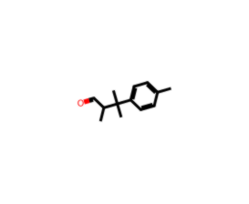 Cc1ccc(C(C)(C)C(C)C=O)cc1